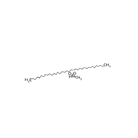 CCCCCCCCCCCCCCCCCCC(CCCCCCCCCCCCCCCCC)OC(=O)NC